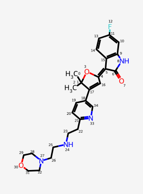 CC1(C)O/C(=C2/C(=O)Nc3cc(F)ccc32)C=C1c1ccc(CCNCCN2CCOCC2)nc1